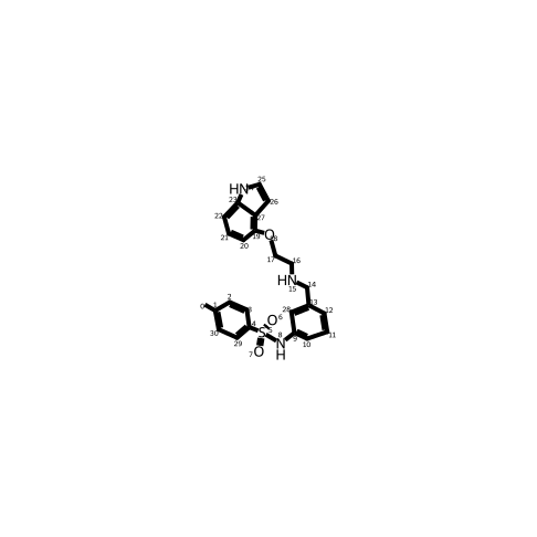 Cc1ccc(S(=O)(=O)Nc2cccc(CNCCOc3cccc4[nH]ccc34)c2)cc1